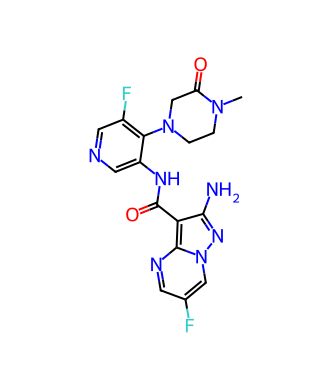 CN1CCN(c2c(F)cncc2NC(=O)c2c(N)nn3cc(F)cnc23)CC1=O